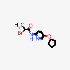 CC(Br)C(=O)Nc1ccc(OC2CCCC2)cn1